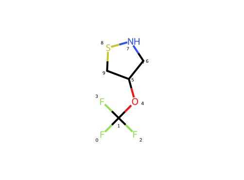 FC(F)(F)OC1[CH]NSC1